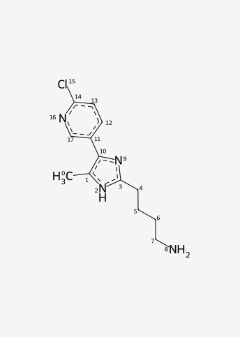 Cc1[nH]c(CCCCN)nc1-c1ccc(Cl)nc1